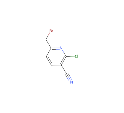 N#Cc1ccc(CBr)nc1Cl